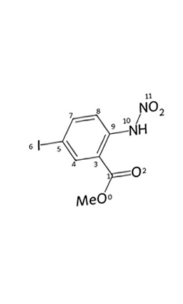 COC(=O)c1cc(I)ccc1N[N+](=O)[O-]